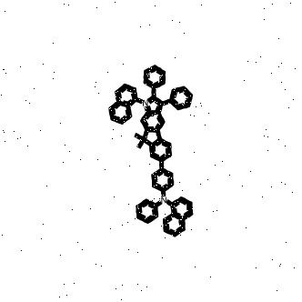 CC1(C)c2cc(-c3ccc(N(c4ccccc4)c4cccc5ccccc45)cc3)ccc2-c2cc3c(-c4ccccc4)c(-c4ccccc4)n(-c4cccc5ccccc45)c3cc21